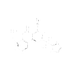 C[C@H](Nc1ccc(S(=O)(=O)c2n[c]cs2)cc1C#N)c1ccccc1F